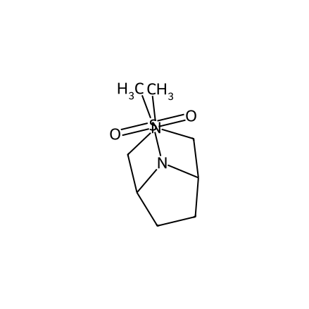 CN1CC2CCC(C1)N2S(C)(=O)=O